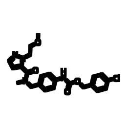 COCCn1nccc1C(=O)N(C)Cc1ccc(NC(=O)OCc2ccc(Cl)cc2)cc1